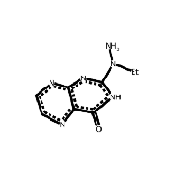 CCN(N)c1nc2nccnc2c(=O)[nH]1